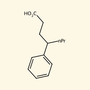 CCCC(CCC(=O)O)c1ccccc1